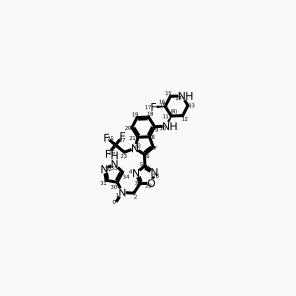 CN(Cc1nc(-c2cc3c(N[C@@H]4CCNC[C@@H]4F)cccc3n2CC(F)(F)F)no1)c1cn[nH]c1